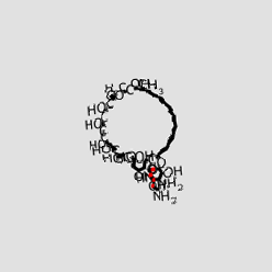 C[C@H]1C[C@H](O)[C@@H](C)/C=C/C=C/C=C/C=C/C=C/C=C/C=C/C(O[C@@H]2OC[C@@H](O)[C@H](N)[C@@H]2O)C[C@@H]2OC(O)(CC(O)CC(O)C(O)CCC(O)CC(O)CC(=O)O1)C[C@H](O)[C@H]2C(=O)NCCCN